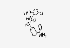 NC(=O)c1cccc(NC(=O)Nc2cc(Cl)ccc2O)c1